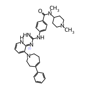 CN1CCC(N(C)C(=O)c2ccc(NC(=N)/N=c3\[nH]cccc3N3CCC=C(c4ccccc4)CC3)cc2)CC1